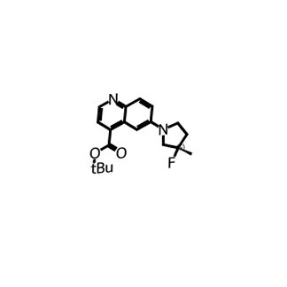 CC(C)(C)OC(=O)c1ccnc2ccc(N3CC[C@](C)(F)C3)cc12